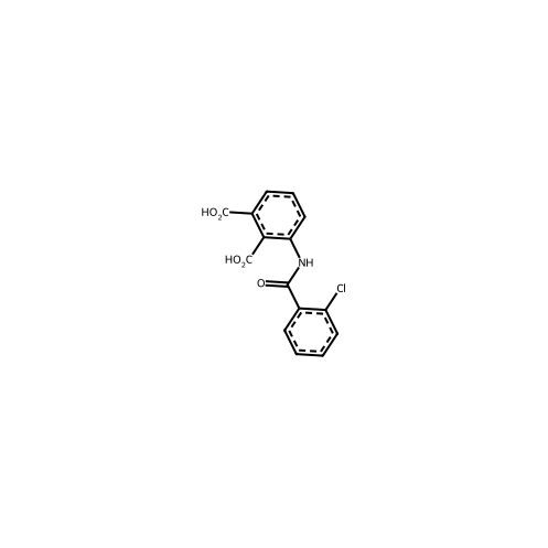 O=C(Nc1cccc(C(=O)O)c1C(=O)O)c1ccccc1Cl